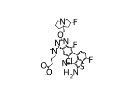 COC(=O)CCCN(C)c1nc(OC[C@@]23CCCN2C[C@H](F)C3)nc2c(F)c(-c3ccc(F)c4sc(N)c(C#N)c34)c(Cl)cc12